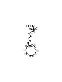 O=C(O)C1(Cl)CC(CCCCCC2CCCCCCCCCCC2)C1